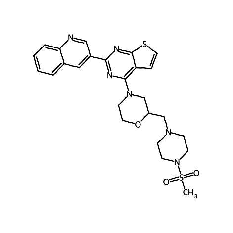 CS(=O)(=O)N1CCN(CC2CN(c3nc(-c4cnc5ccccc5c4)nc4sccc34)CCO2)CC1